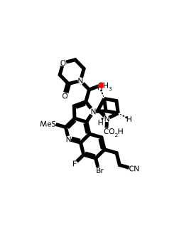 CSc1nc2c(F)c(Br)c(CCC#N)cc2c2c1cc(C(C)N1CCOCC1=O)n2[C@H]1[C@@H]2C[C@H]1N(C(=O)O)C2